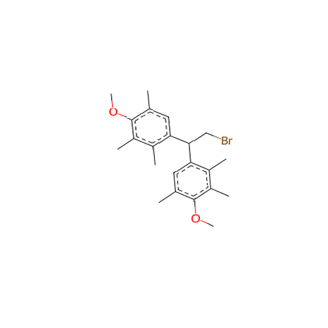 COc1c(C)cc(C(CBr)c2cc(C)c(OC)c(C)c2C)c(C)c1C